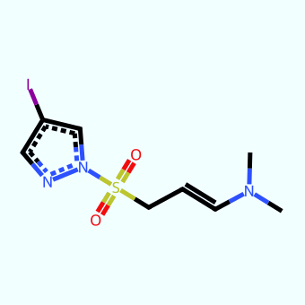 CN(C)C=CCS(=O)(=O)n1cc(I)cn1